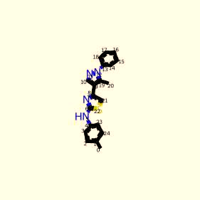 Cc1ccc(Nc2nc(-c3cnn(-c4ccccc4)c3C)cs2)cc1